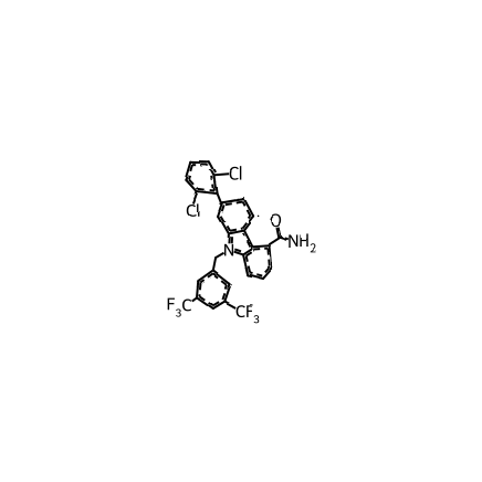 NC(=O)c1cccc2c1c1[c]cc(-c3c(Cl)cccc3Cl)cc1n2Cc1cc(C(F)(F)F)cc(C(F)(F)F)c1